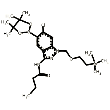 CCCC(=O)Nc1nn(COCC[Si](C)(C)C)c2cc(Cl)c(B3OC(C)(C)C(C)(C)O3)cc12